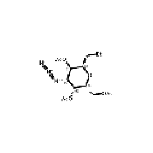 CCS[C@H]1O[C@H](COC(C)=O)[C@H](OC(C)=O)[C@H](N=[N+]=[N-])[C@H]1OC(C)=O